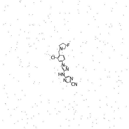 N#Cc1cnc(Nc2cn(-c3ccc(CN4CCC(F)C4)c(Cl)c3)cn2)cn1